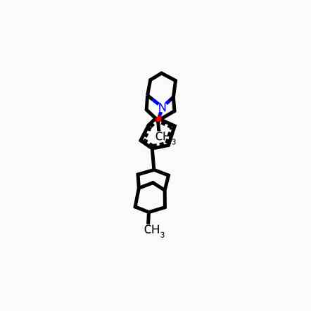 CC1CC2CC(C1)CC(c1ccc(N3C4CCCC3CC(C)C4)cc1)C2